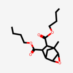 CCCCOC(=O)C1C2CC(C)(C3OC23)C1C(=O)OCCCC